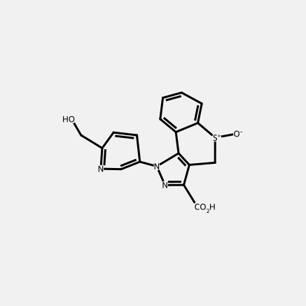 O=C(O)c1nn(-c2ccc(CO)nc2)c2c1C[S+]([O-])c1ccccc1-2